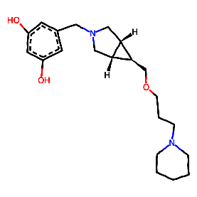 Oc1cc(O)cc(CN2C[C@@H]3[C@@H](COCCCN4CCCCC4)[C@@H]3C2)c1